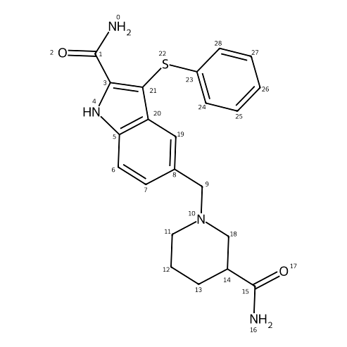 NC(=O)c1[nH]c2ccc(CN3CCCC(C(N)=O)C3)cc2c1Sc1ccccc1